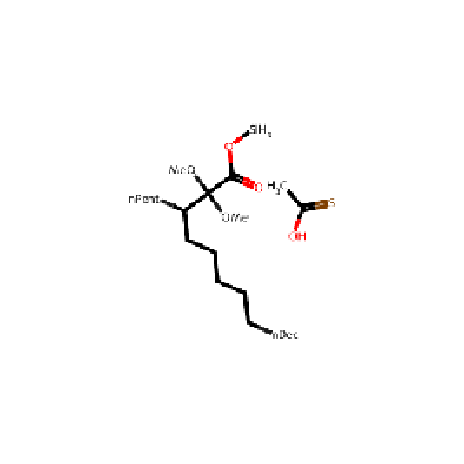 CC(O)=S.CCCCCCCCCCCCCCCC(CCCCC)C(OC)(OC)C(=O)O[SiH3]